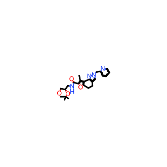 Cc1c(C(=O)NCC2COCC(C)(C)O2)oc2c1-c1nn(Cc3ccccn3)cc1CC2